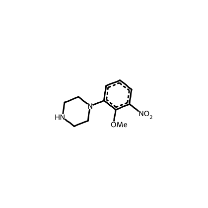 COc1c(N2CCNCC2)cccc1[N+](=O)[O-]